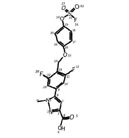 Cn1nc(C(=O)O)cc1-c1cc(F)c(COc2ccc(OS(=O)(=O)F)cc2)c(F)c1